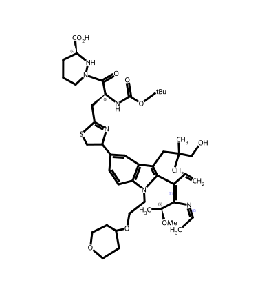 C=C/C(=C(\N=C/C)[C@H](C)OC)c1c(CC(C)(C)CO)c2cc(C3CSC(C[C@H](NC(=O)OC(C)(C)C)C(=O)N4CCC[C@@H](C(=O)O)N4)=N3)ccc2n1CCOC1CCOCC1